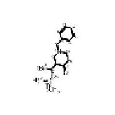 C[SiH](C)OC(C1CN(Cc2ccccc2)CCC1=O)C(C)(C)C